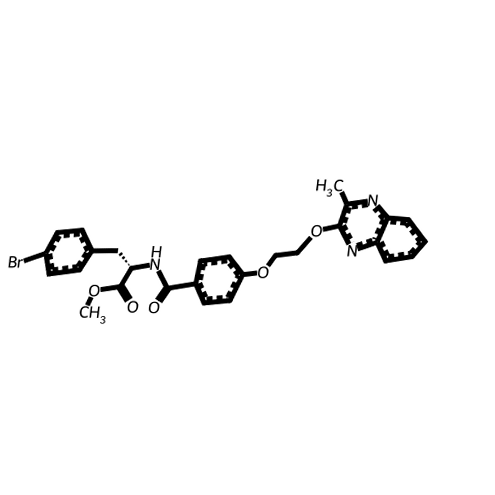 COC(=O)[C@H](Cc1ccc(Br)cc1)NC(=O)c1ccc(OCCOc2nc3ccccc3nc2C)cc1